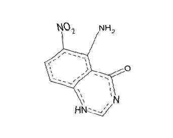 Nc1c([N+](=O)[O-])ccc2[nH]cnc(=O)c12